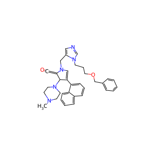 CN1CCN(C2C(=C=O)N(Cc3cncn3CCCOCc3ccccc3)C=C2c2cccc3ccccc23)CC1